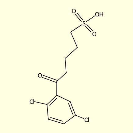 O=C(CCCCS(=O)(=O)O)c1cc(Cl)ccc1Cl